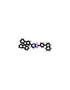 c1ccc2c(c1)-c1ccccc1C21c2ccccc2-c2ccc(-c3ccc4nc(-c5ccc(-c6cccc7ccccc67)cc5)oc4n3)cc21